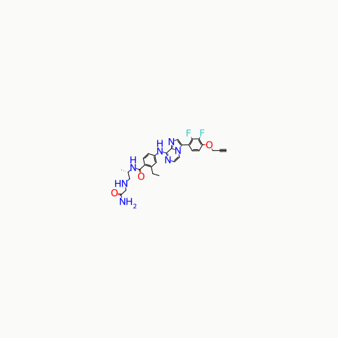 C#CCOc1ccc(-c2cnc3c(Nc4ccc(C(=O)N[C@@H](C)CNCC(N)=O)c(CC)c4)nccn23)c(F)c1F